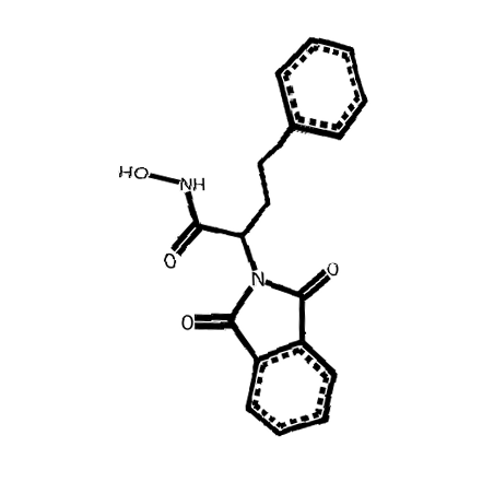 O=C(NO)C(CCc1ccccc1)N1C(=O)c2ccccc2C1=O